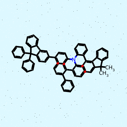 CC1(C)c2ccccc2-c2c(-c3ccccc3N(c3ccc(-c4ccc5c(c4)-c4ccccc4C5(c4ccccc4)c4ccccc4)cc3)c3ccccc3-c3ccccc3-c3ccccc3)cccc21